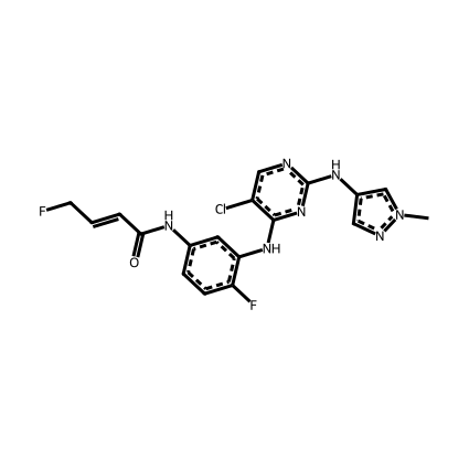 Cn1cc(Nc2ncc(Cl)c(Nc3cc(NC(=O)/C=C/CF)ccc3F)n2)cn1